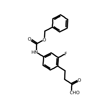 O=CC(=O)CCc1ccc(NC(=O)OCc2ccccc2)cc1F